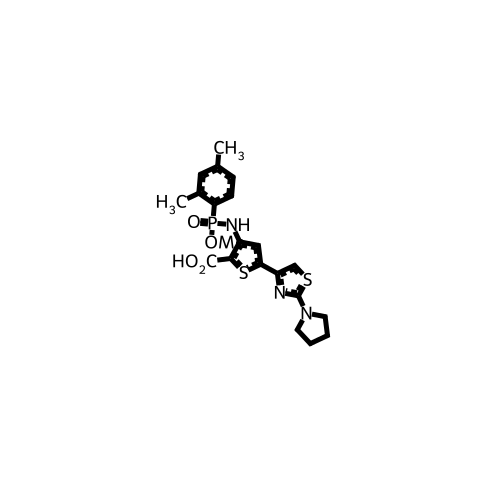 COP(=O)(Nc1cc(-c2csc(N3CCCC3)n2)sc1C(=O)O)c1ccc(C)cc1C